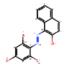 Oc1ccc2ccccc2c1/N=N/c1c(Br)cc(Br)cc1Br